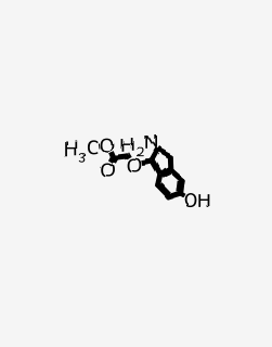 COC(=O)COC1c2ccc(O)cc2CC1N